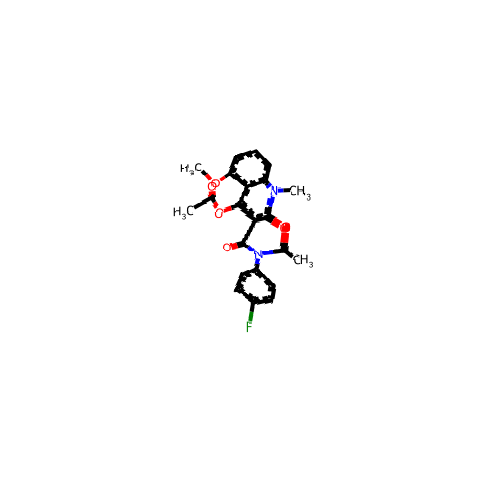 COc1cccc2c1c(OC(C)=O)c(C(=O)N(C(C)=O)c1ccc(F)cc1)c(=O)n2C